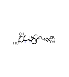 C=C1/C(=C\C=C2/CCC[C@]3(C)[C@@H]([C@H](C)CN4CC(O)(C(F)(F)F)C4)CC[C@@H]23)C[C@@H](O)C[C@@H]1O